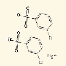 O=S(=O)([O-])c1cccc(Cl)c1.O=S(=O)([O-])c1cccc(Cl)c1.[Hg+2]